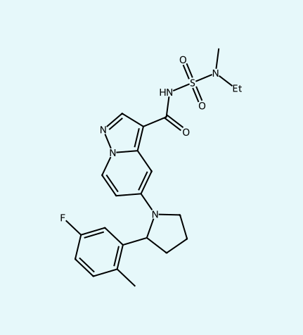 CCN(C)S(=O)(=O)NC(=O)c1cnn2ccc(N3CCCC3c3cc(F)ccc3C)cc12